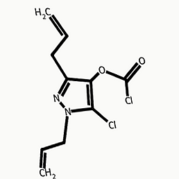 C=CCc1nn(CC=C)c(Cl)c1OC(=O)Cl